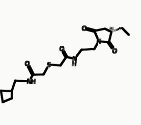 CC[C@H]1CC(=O)N(CCNC(=O)CSCC(=O)NCC2CCC2)C1=O